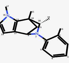 Cc1ccccc1N1C2CC(C)(c3c2ccn3C)[C@@H]1C